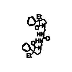 CCC1(c2ccccc2)CCN(CNC(=O)NCN2CCC(CC)(c3ccccc3)C2=O)C1=O